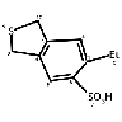 CCc1cc2c(cc1S(=O)(=O)O)CSC2